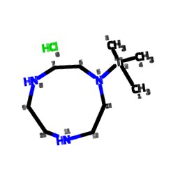 Cl.[CH3][Ti]([CH3])([CH3])[N]1CCNCCNCC1